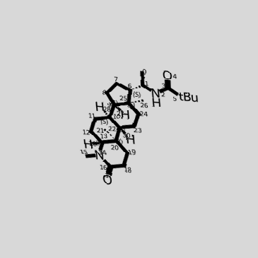 CC(NC(=O)C(C)(C)C)[C@H]1CC[C@H]2[C@@H]3CC[C@H]4N(C)C(=O)CC[C@]4(C)[C@H]3CC[C@]12C